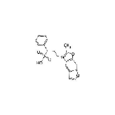 Cc1oc2cc3occc3cc2[n+]1CCC(c1ccccc1)S(=O)(=O)O